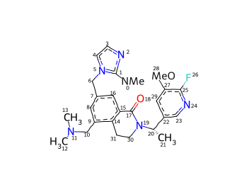 CNc1nccn1Cc1cc(CN(C)C)c2c(c1)C(=O)N([C@@H](C)c1cnc(F)c(OC)c1)CC2